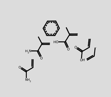 C=C(C)C(=O)O.C=C(C)C(N)=O.C=CC(=O)O.C=CC(N)=O.[CH2]C=C.[c]1ccccc1